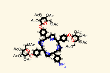 CC(=O)OC[C@H]1O[C@@H](Oc2ccc(-c3c4nc(c(-c5ccc(O[C@@H]6O[C@H](COC(C)=O)[C@@H](OC(C)=O)[C@H](OC(C)=O)[C@H]6OC(C)=O)cc5)c5ccc([nH]5)c(-c5ccc(O[C@@H]6O[C@H](COC(C)=O)[C@@H](OC(C)=O)[C@H](OC(C)=O)[C@H]6OC(C)=O)cc5)c5nc(c(-c6ccc(N)cc6)c6ccc3[nH]6)C=C5)C=C4)cc2)[C@H](OC(C)=O)[C@@H](OC(C)=O)[C@@H]1OC(C)=O